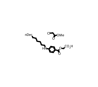 CCCCCCCCCCCCCCCCNc1ccc(C(=O)OCC(=O)O)cc1.COC(=O)CCl